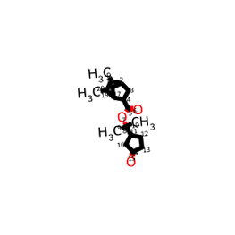 CC1C2CC(C(=O)OC(C)(C)C3CCC(=O)C3)C(C2)C1C